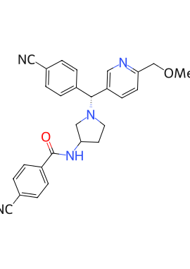 COCc1ccc([C@@H](c2ccc(C#N)cc2)N2CCC(NC(=O)c3ccc(C#N)cc3)C2)cn1